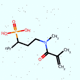 C=C(C)C(=O)N(C)CCC(CCC)P(=O)(O)O